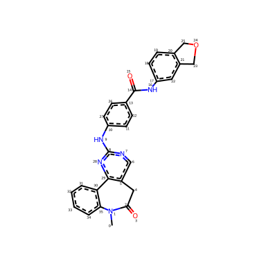 CN1C(=O)Cc2cnc(Nc3ccc(C(=O)Nc4ccc5c(c4)COC5)cc3)nc2-c2ccccc21